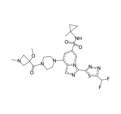 COC1(C(=O)N2CCN(c3cc(S(=O)(=O)NC4(C)CC4)cn4c(-c5nnc(C(F)F)s5)ncc34)CC2)CN(C)C1